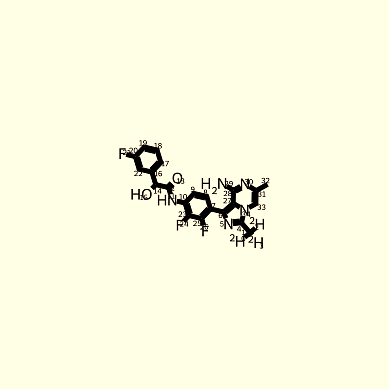 [2H]C([2H])([2H])c1nc(-c2ccc(NC(=O)C(O)c3cccc(F)c3)c(F)c2F)c2c(N)nc(C)cn12